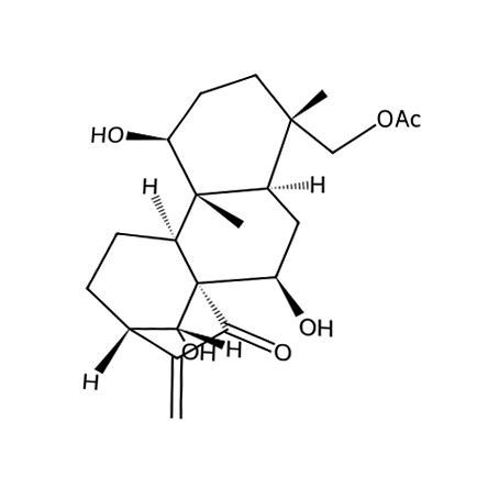 C=C1C(=O)[C@@]23[C@H](O)C[C@@H]4[C@@](C)(COC(C)=O)CC[C@H](O)[C@@]4(C)[C@@H]2CC[C@@H]1[C@H]3O